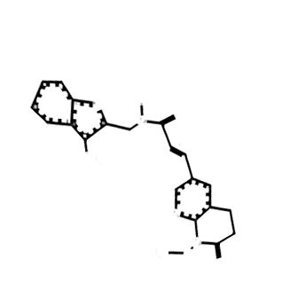 CSN1C(=O)CCc2cc(/C=C/C(=O)N(C)Cc3oc4ccccc4c3C)cnc21